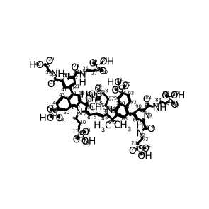 CC1(C)C(/C=C/C=C2/N(CCCS(=O)(=O)O)c3c(cc(-c4cc(C(=O)NCCS(=O)(=O)O)nc(C(=O)NCC(=O)O)c4)c4ccc(S(=O)(=O)O)cc34)C2(C)C)=[N+](CCCS(=O)(=O)O)c2c1cc(-c1cc(C(=O)NCCS(=O)(=O)O)nc(C(=O)NCCS(=O)(=O)O)c1)c1ccc(S(=O)(=O)O)cc21